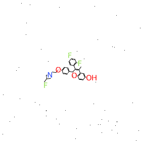 CC1=C(c2ccc(F)cc2F)C(c2ccc(OCCN3CC(CF)C3)cc2)Oc2ccc(O)cc21